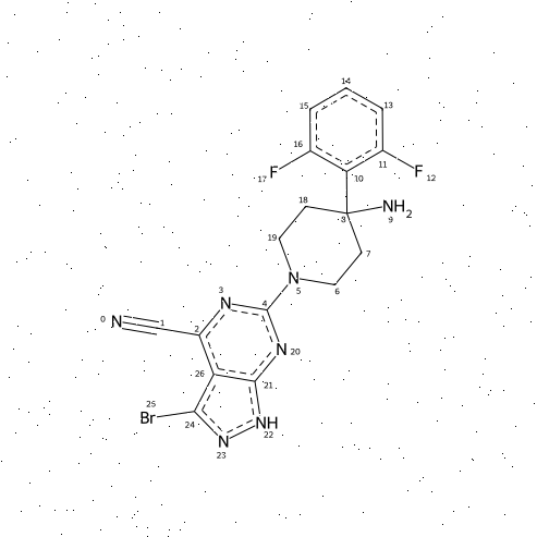 N#Cc1nc(N2CCC(N)(c3c(F)cccc3F)CC2)nc2[nH]nc(Br)c12